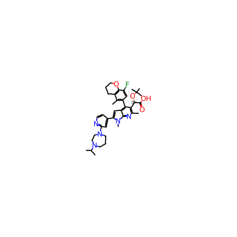 Cc1nc2c(cc(-c3ccnc(N4CCCN(C(C)C)CC4)c3)n2C)c(-c2cc(F)c3c(c2C)CCCO3)c1[C@H](OC(C)(C)C)C(=O)O